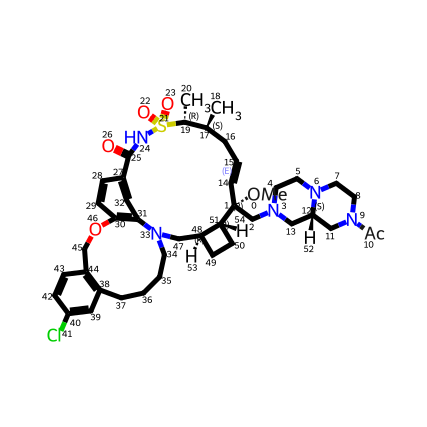 CO[C@@]1(CN2CCN3CCN(C(C)=O)C[C@@H]3C2)/C=C/C[C@H](C)[C@@H](C)S(=O)(=O)NC(=O)c2ccc3c(c2)N(CCCCc2cc(Cl)ccc2CO3)C[C@@H]2CC[C@H]21